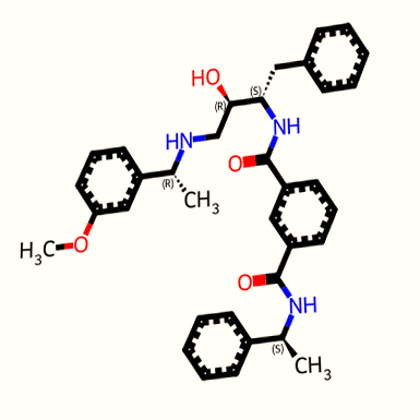 COc1cccc([C@@H](C)NC[C@@H](O)[C@H](Cc2ccccc2)NC(=O)c2cccc(C(=O)N[C@@H](C)c3ccccc3)c2)c1